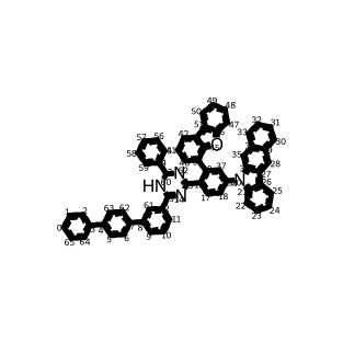 c1ccc(-c2ccc(-c3cccc(C4=NC(c5ccc(-n6c7ccccc7c7cc8ccccc8cc76)cc5-c5cccc6c5oc5ccccc56)=NC(c5ccccc5)N4)c3)cc2)cc1